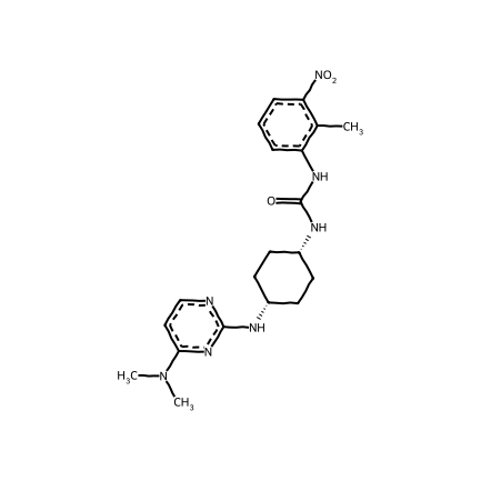 Cc1c(NC(=O)N[C@H]2CC[C@@H](Nc3nccc(N(C)C)n3)CC2)cccc1[N+](=O)[O-]